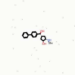 CC(C)(C)N[C@H]1C[C@@H](C(O)c2ccc(-c3ccccc3)cc2)C[C@@H]1O